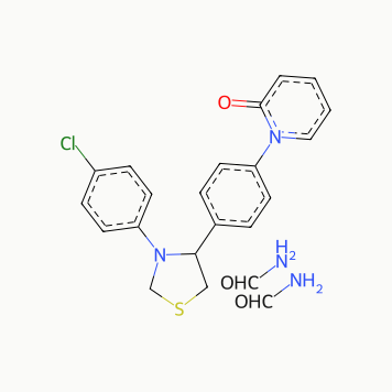 NC=O.NC=O.O=c1ccccn1-c1ccc(C2CSCN2c2ccc(Cl)cc2)cc1